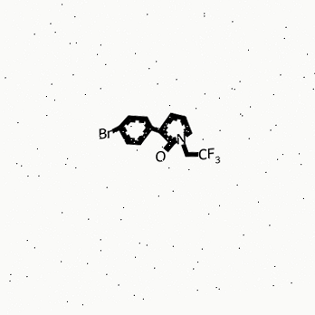 O=c1c(-c2ccc(Br)cc2)cccn1CC(F)(F)F